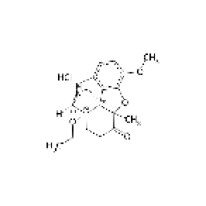 CCO[C@@]12CCC(=O)C3(C)Oc4c(OC)ccc5c4[C@@]31CCN[C@@H]2C5.Cl